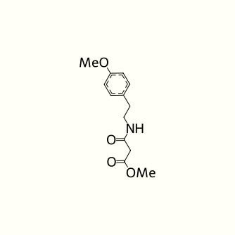 COC(=O)CC(=O)NCCc1ccc(OC)cc1